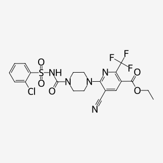 CCOC(=O)c1cc(C#N)c(N2CCN(C(=O)NS(=O)(=O)c3ccccc3Cl)CC2)nc1C(F)(F)F